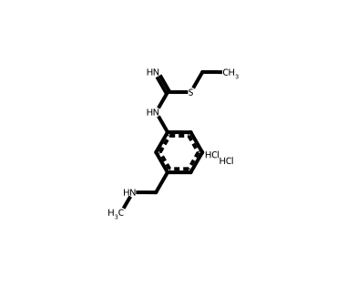 CCSC(=N)Nc1cccc(CNC)c1.Cl.Cl